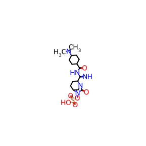 CN(C)C1CCC(C(=O)NC(=N)C2CCC3CN2C(=O)N3OS(=O)(=O)O)CC1